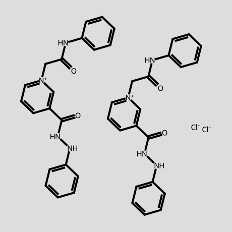 O=C(C[n+]1cccc(C(=O)NNc2ccccc2)c1)Nc1ccccc1.O=C(C[n+]1cccc(C(=O)NNc2ccccc2)c1)Nc1ccccc1.[Cl-].[Cl-]